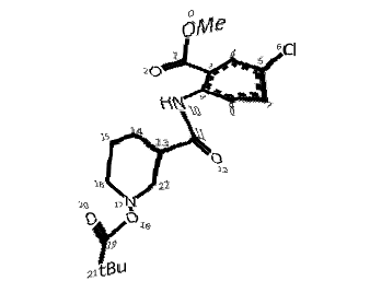 COC(=O)c1cc(Cl)ccc1NC(=O)C1CCCN(OC(=O)C(C)(C)C)C1